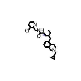 CCC(/C=C/C(=O)NCc1ncccc1Cl)Cc1cccc2c1CCN(CC1CC1)C2